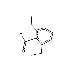 CCc1cccc(CC)c1C([O])=O